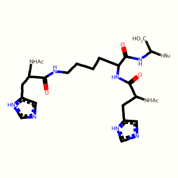 CCCCC(NC(=O)C(CCCCNC(=O)C(Cc1cnc[nH]1)NC(C)=O)NC(=O)C(Cc1cnc[nH]1)NC(C)=O)C(=O)O